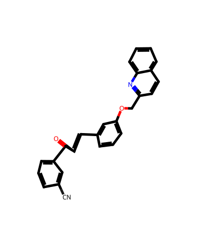 N#Cc1cccc(C(=O)/C=C/c2cccc(OCc3ccc4ccccc4n3)c2)c1